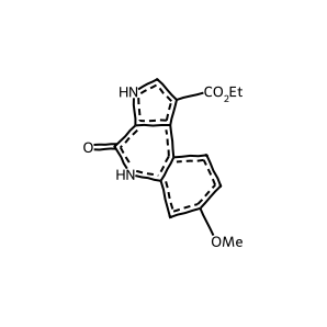 CCOC(=O)c1c[nH]c2c(=O)[nH]c3cc(OC)ccc3c12